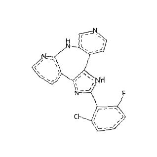 Fc1cccc(Cl)c1-c1nc2c([nH]1)-c1ccncc1Nc1ncccc1-2